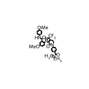 COc1ccc(NC(=O)c2cc(OC)ccc2-n2nc(C(F)(F)F)c3c2C(=O)N(c2ccc(C(=O)N(C)C)cc2)CC3)cc1